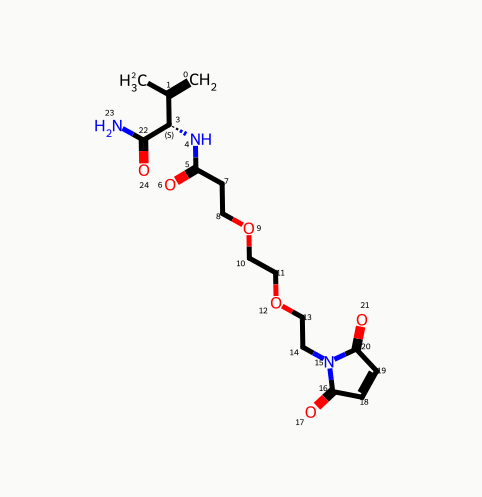 C=C(C)[C@H](NC(=O)CCOCCOCCN1C(=O)C=CC1=O)C(N)=O